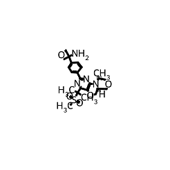 C[C@@H]1COC[C@H]2COc3c(nc(-c4ccc(C5(N)COC5)cc4)nc3C(C)(C)S(C)(=O)=O)N21